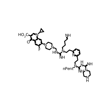 CCCCCN(CCc1cccc(CCN(CCCC=N)C(=N)NCN2CCN(c3cc4c(cc3F)c(=O)c(C(=O)O)cn4C3CC3)CC2)n1)C(=N)NC(=N)N1CCNCC1